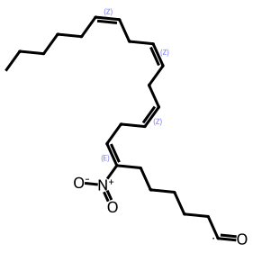 CCCCC/C=C\C/C=C\C/C=C\C/C=C(\CCCCC[C]=O)[N+](=O)[O-]